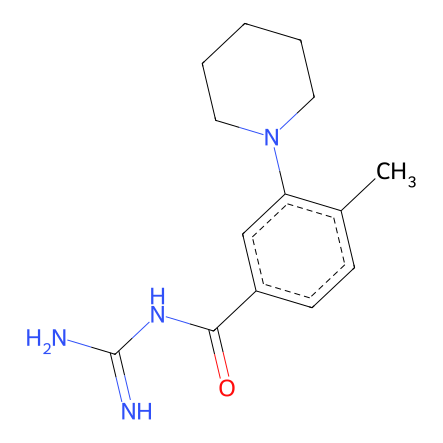 Cc1ccc(C(=O)NC(=N)N)cc1N1CCCCC1